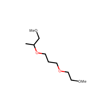 COCCOCCCOC(C)COC